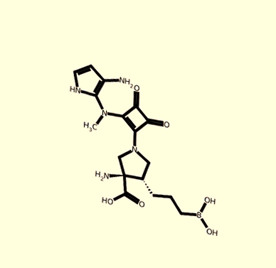 CN(c1[nH]ccc1N)c1c(N2C[C@H](CCCB(O)O)[C@](N)(C(=O)O)C2)c(=O)c1=O